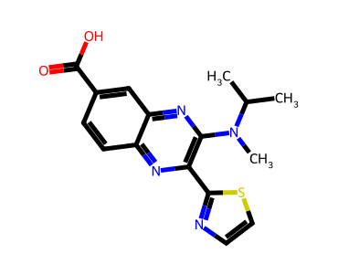 CC(C)N(C)c1nc2cc(C(=O)O)ccc2nc1-c1nccs1